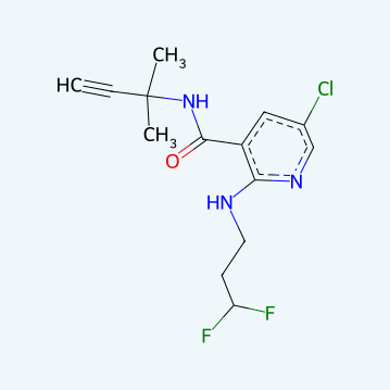 C#CC(C)(C)NC(=O)c1cc(Cl)cnc1NCCC(F)F